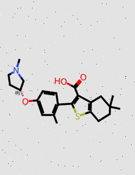 Cc1cc(O[C@@H]2CCN(C)C2)ccc1-c1sc2c(c1C(=O)O)CC(C)(C)CC2